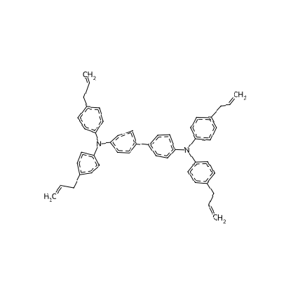 C=CCc1ccc(N(c2ccc(CC=C)cc2)c2ccc(-c3ccc(N(c4ccc(CC=C)cc4)c4ccc(CC=C)cc4)cc3)cc2)cc1